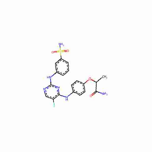 CC(Oc1ccc(Nc2nc(Nc3cccc(S(N)(=O)=O)c3)ncc2F)cc1)C(N)=O